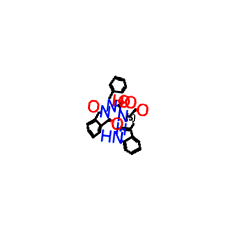 O=C(O)[C@H](Cc1c[nH]c2ccccc12)NC(=O)N(Cc1ccccc1)N1C(=O)c2ccccc2C1=O